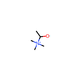 CC([O])[N+](C)(C)C